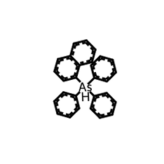 c1ccc([AsH](c2ccccc2)(c2ccccc2)c2cccc3ccccc23)cc1